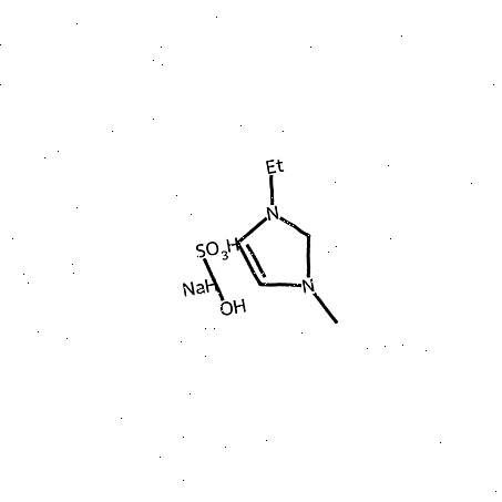 CCN1C=CN(C)C1.O=S(=O)(O)O.[NaH]